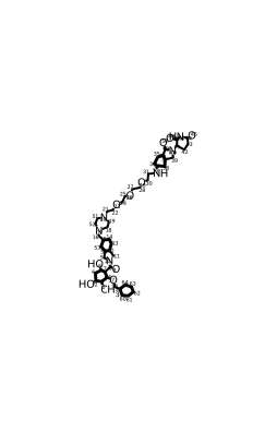 Cc1c(O)cc(O)c(C(=O)N2Cc3ccc(CN4CCN(CCOCCOCCOCCNc5ccc6c(c5)CN(C5CCC(=O)NC5=O)C6=O)CC4)cc3C2)c1OCc1ccccc1